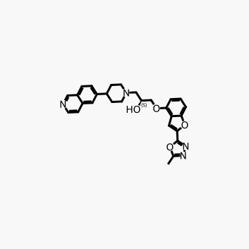 Cc1nnc(-c2cc3c(OC[C@@H](O)CN4CCC(c5ccc6cnccc6c5)CC4)cccc3o2)o1